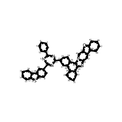 c1ccc(-c2nc(-c3ccc4sc5ccccc5c4c3)nc(-c3ccc4c(c3)c3ccccc3c3nc5cc6c(cn5c43)oc3ccccc36)n2)cc1